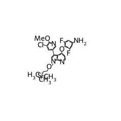 COc1ncc(-c2cn(COCC[Si](C)(C)C)c3nccc(Oc4c(F)cc(N)cc4F)c23)cc1Cl